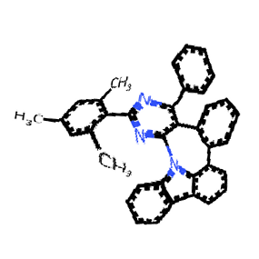 Cc1cc(C)c(-c2nc(-c3ccccc3)c3c(n2)-n2c4ccccc4c4cccc(c42)-c2ccccc2-3)c(C)c1